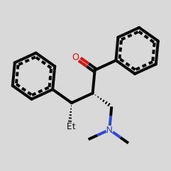 CC[C@H](c1ccccc1)[C@@H](CN(C)C)C(=O)c1ccccc1